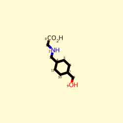 O=C(O)CNCC1CCC(CO)CC1